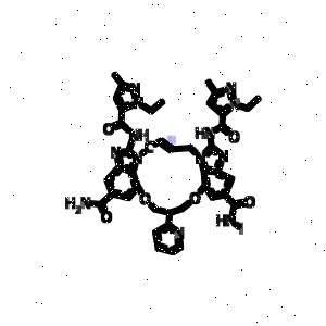 CCn1nc(C)cc1C(=O)Nc1nc2cc(C(N)=O)cc3c2n1C/C=C/Cn1c(NC(=O)c2cc(C)nn2CC)nc2cc(C(=O)NI)cc(c21)OCC(c1ccccn1)CO3